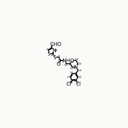 O=Cc1csc(SCC(=O)NCC2CN(Cc3ccc(Cl)c(Cl)c3)CCO2)n1